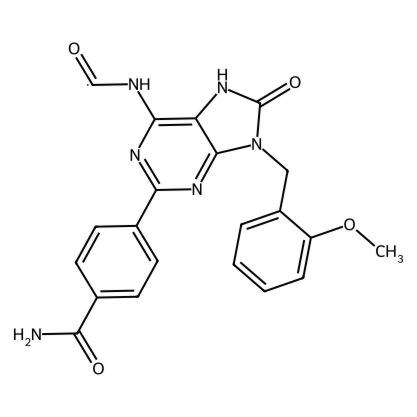 COc1ccccc1Cn1c(=O)[nH]c2c(N[C]=O)nc(-c3ccc(C(N)=O)cc3)nc21